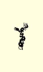 CC1(c2ccc(Cl)cc2F)Oc2cccc(C3CCN(Cc4nc5cc(NC(=O)c6cccnc6)ccc5n4C[C@@H]4CCO4)CC3)c2O1